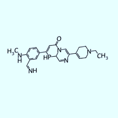 CCN1CC=C(C2=CN3C(=O)C=C(c4ccc(NC)c(C=N)c4)PC3C=N2)CC1